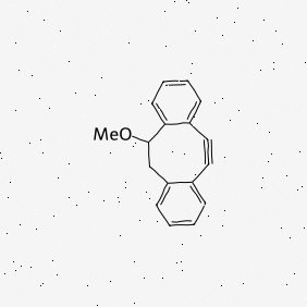 COC1Cc2ccccc2C#Cc2ccccc21